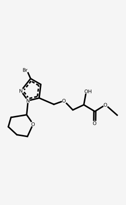 COC(=O)C(O)COCc1cc(Br)nn1C1CCCCO1